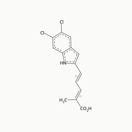 C/C(=C\C=C\c1cc2cc(Cl)c(Cl)cc2[nH]1)C(=O)O